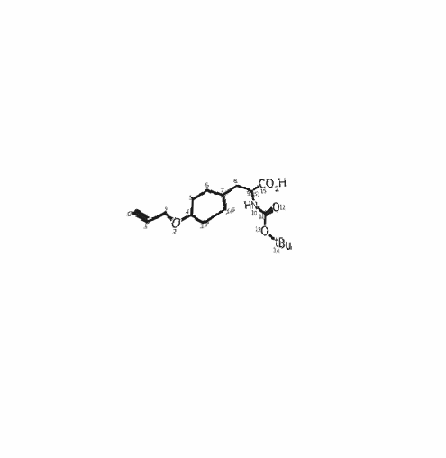 C=CCOC1CCC(C[C@H](NC(=O)OC(C)(C)C)C(=O)O)CC1